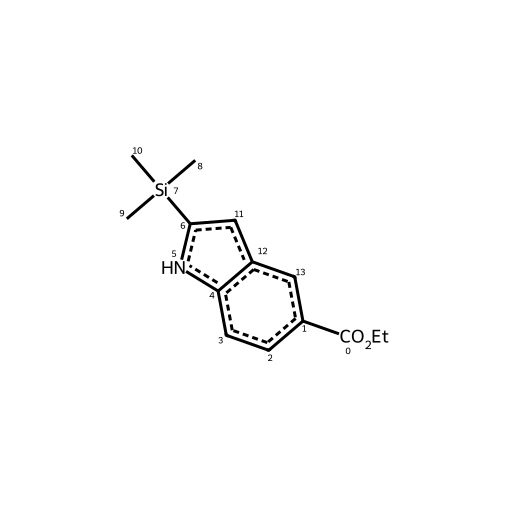 CCOC(=O)c1ccc2[nH]c([Si](C)(C)C)cc2c1